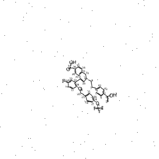 C=C(O)c1ccc(CCC(/C=C/c2cc(F)ccc2OCc2ccc(OC(F)(F)F)cc2)Cc2ccc(C(=O)O)cc2)cc1